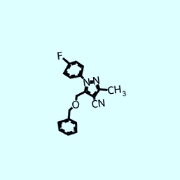 Cc1nn(-c2ccc(F)cc2)c(COCc2ccccc2)c1C#N